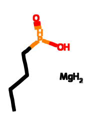 CCCC[PH](=O)O.[MgH2]